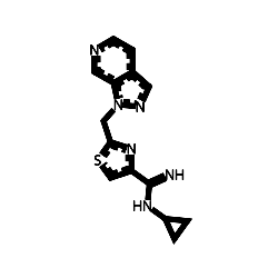 N=C(NC1CC1)c1csc(Cn2ncc3ccncc32)n1